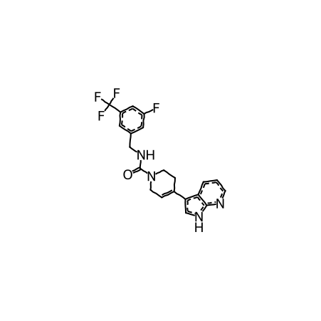 O=C(NCc1cc(F)cc(C(F)(F)F)c1)N1CC=C(c2c[nH]c3ncccc23)CC1